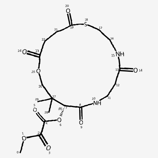 COC(=O)C(=O)O[C@H]1C(=O)NCCC(=O)NCCSC(=O)CCC(=O)OCC1(C)C